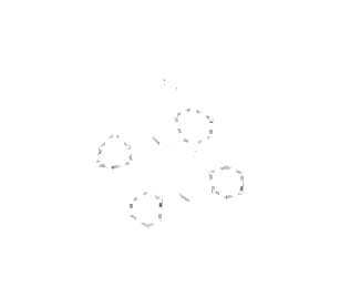 C(=Cc1ccccc1Oc1ccccc1C=Cc1ccccc1)c1ccccc1.C1CO1